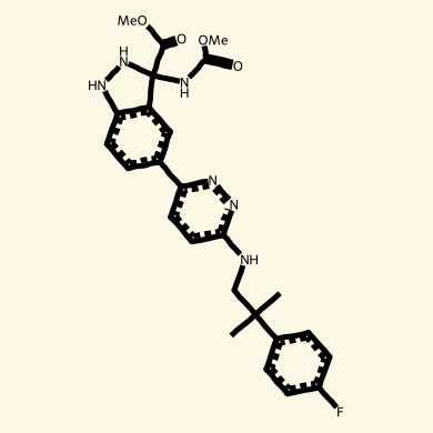 COC(=O)NC1(C(=O)OC)NNc2ccc(-c3ccc(NCC(C)(C)c4ccc(F)cc4)nn3)cc21